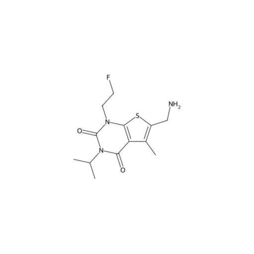 Cc1c(CN)sc2c1c(=O)n(C(C)C)c(=O)n2CCF